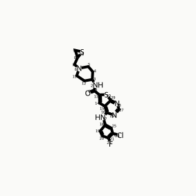 O=C(NC1CCN(CC2CS2)CC1)c1cc2c(Nc3ccc(F)c(Cl)c3)ncnc2s1